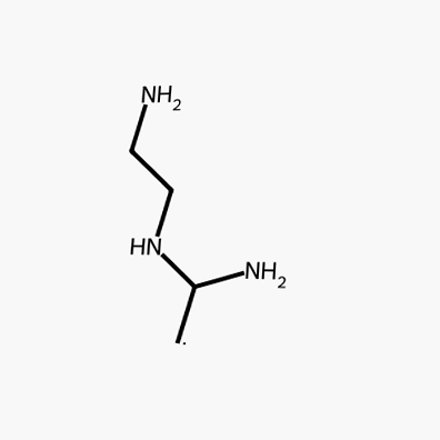 [CH2]C(N)NCCN